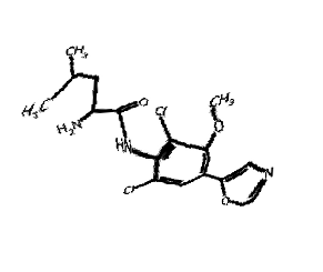 COc1c(-c2cnco2)cc(Cl)c(NC(=O)C(N)CC(C)C)c1Cl